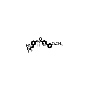 CCOc1cccc(-c2ccc(C(=O)NCc3ccc4[nH]c(C(F)(F)F)cc4c3)cn2)c1